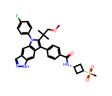 COCC(C)(C)c1c(-c2ccc(C(=O)N[C@H]3C[C@@H](S(C)(=O)=O)C3)cc2)c2cc3[nH]ncc3cc2n1-c1ccc(F)cc1